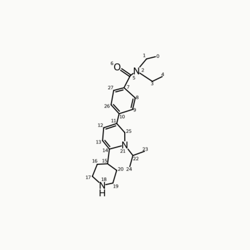 CCN(CC)C(=O)c1ccc(C2=CC=C(C3CCNCC3)N(C(C)C)C2)cc1